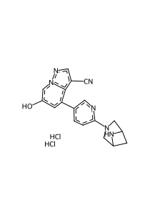 Cl.Cl.N#Cc1cnn2cc(O)cc(-c3ccc(N4CC5CC(C4)N5)nc3)c12